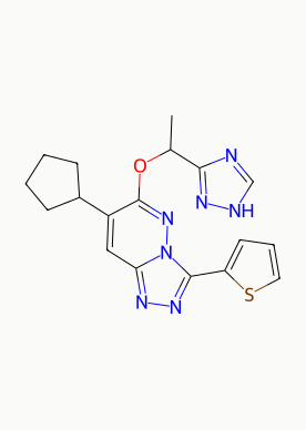 CC(Oc1nn2c(-c3cccs3)nnc2cc1C1CCCC1)c1nc[nH]n1